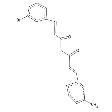 Cc1cccc(/C=C/C(=O)CC(=O)/C=C/c2cccc(Br)c2)c1